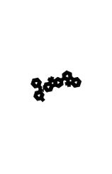 Cc1cccc(N(c2ccccc2)c2ccc3c(c2)C(C)(C)c2cc(-c4cccc5c4C(C)(C)c4ccccc4-5)ccc2-3)c1